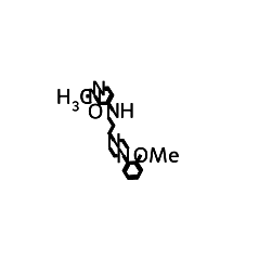 COc1ccccc1N1CCN(CCCNc2ccnn(C)c2=O)CC1